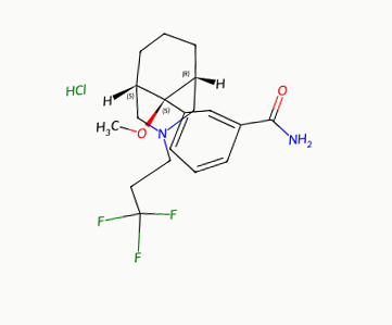 CO[C@]1(c2cccc(C(N)=O)c2)[C@@H]2CCC[C@H]1CN(CCC(F)(F)F)C2.Cl